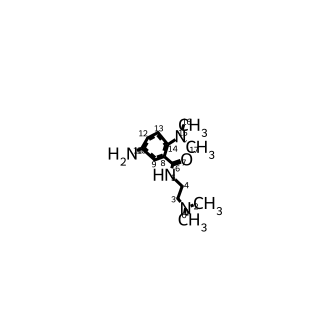 CN(C)CCNC(=O)c1cc(N)ccc1N(C)C